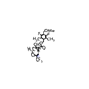 COCc1c(F)c(C)c(COC(=O)[C@@H]2[C@H](/C=C(\Cl)C(F)(F)F)C2(C)C)c(C)c1F